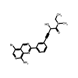 CCN(C)C(=O)[C@H](O)C#Cc1cccc(-c2ncc3c(Br)cnc(N)c3n2)c1